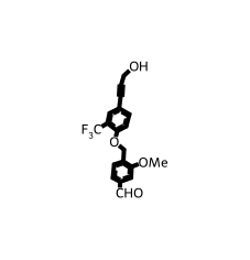 COc1cc(C=O)ccc1COc1ccc(C#CCO)cc1C(F)(F)F